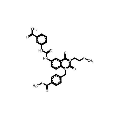 COCCn1c(=O)c2cc(NC(=O)Nc3cccc(C(C)=O)c3)ccc2n(Cc2ccc(C(=O)OC)cc2)c1=O